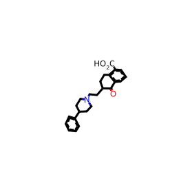 O=C(O)c1cccc2c1CCC(CCN1CCC(c3ccccc3)CC1)C2=O